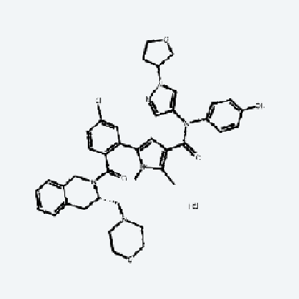 Cc1c(C(=O)N(c2ccc(O)cc2)c2cnn(C3CCOC3)c2)cc(-c2cc(Cl)ccc2C(=O)N2Cc3ccccc3C[C@H]2CN2CCOCC2)n1C.Cl